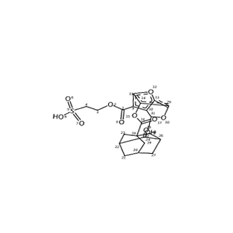 O=C(OCCS(=O)(=O)O)c1c2c3oc1c(OC(=O)C14CC5CC(C1)C(=O)C(C5)C4)c3OC2O